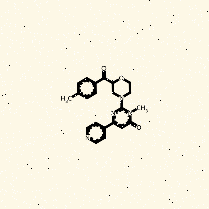 Cc1ccc(C(=O)C2CN(c3nc(-c4ccncc4)cc(=O)n3C)CCO2)cc1